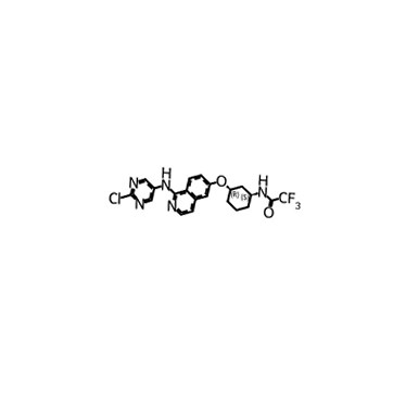 O=C(N[C@H]1CCC[C@@H](Oc2ccc3c(Nc4cnc(Cl)nc4)nccc3c2)C1)C(F)(F)F